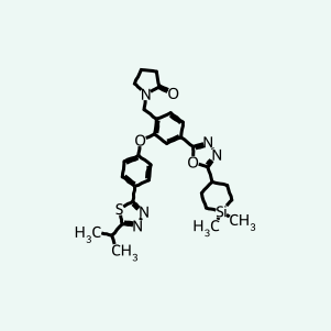 CC(C)c1nnc(-c2ccc(Oc3cc(-c4nnc(C5CC[Si](C)(C)CC5)o4)ccc3CN3CCCC3=O)cc2)s1